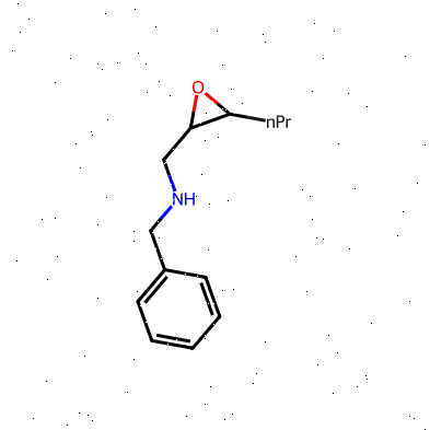 CCCC1OC1CNCc1ccccc1